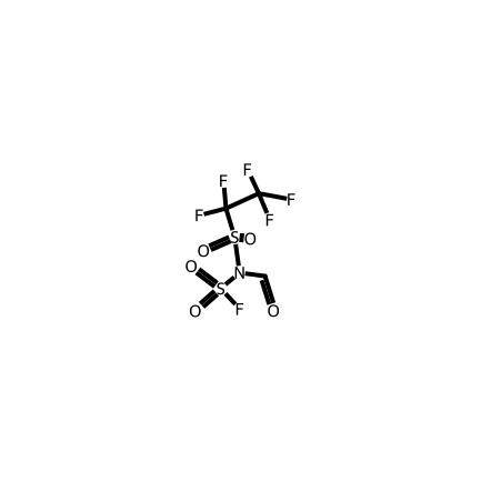 O=CN(S(=O)(=O)F)S(=O)(=O)C(F)(F)C(F)(F)F